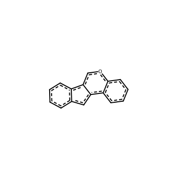 c1ccc2c3coc4ccccc4c-3cc2c1